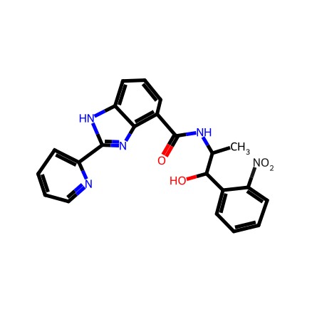 CC(NC(=O)c1cccc2[nH]c(-c3ccccn3)nc12)C(O)c1ccccc1[N+](=O)[O-]